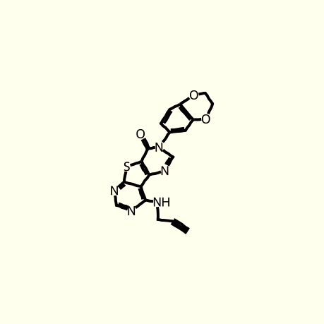 C#CCNc1ncnc2sc3c(=O)n(-c4ccc5c(c4)OCCO5)cnc3c12